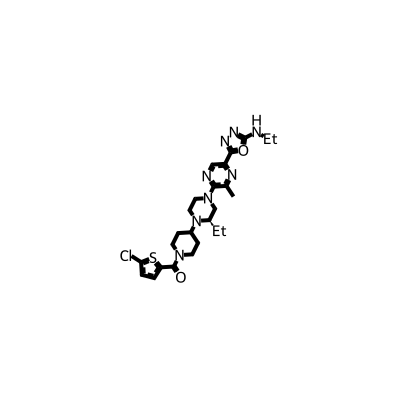 CCNc1nnc(-c2cnc(N3CCN(C4CCN(C(=O)c5ccc(Cl)s5)CC4)[C@@H](CC)C3)c(C)n2)o1